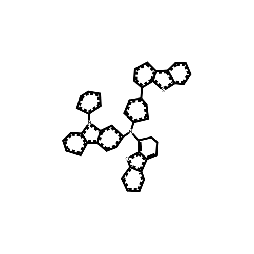 C1=c2c(oc3ccccc23)=C(N(c2ccc(-c3cccc4c3sc3ccccc34)cc2)c2ccc3c4ccccc4n(-c4ccccc4)c3c2)CC1